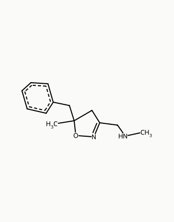 CNCC1=NOC(C)(Cc2ccccc2)C1